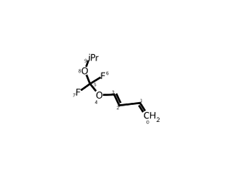 C=C/C=C/OC(F)(F)OC(C)C